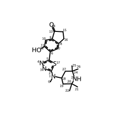 CN(c1nnc(-c2cc3c(cc2O)C(=O)CC3)s1)C1CC(C)(C)NC(C)(C)C1